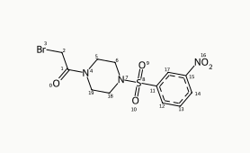 O=C(CBr)N1CCN(S(=O)(=O)c2cccc([N+](=O)[O-])c2)CC1